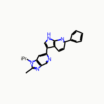 Cc1nc2cnc(-c3c[nH]c4nc(-c5ccccc5)ccc34)cc2n1C(C)C